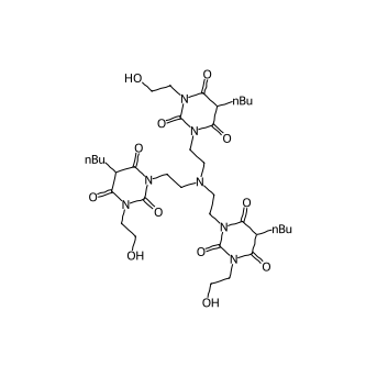 CCCCC1C(=O)N(CCO)C(=O)N(CCN(CCN2C(=O)C(CCCC)C(=O)N(CCO)C2=O)CCN2C(=O)C(CCCC)C(=O)N(CCO)C2=O)C1=O